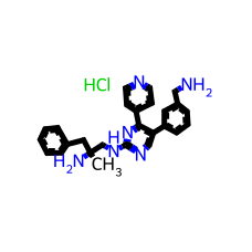 CC(N)(CNc1ncc(-c2cccc(CN)c2)c(-c2ccncc2)n1)Cc1ccccc1.Cl